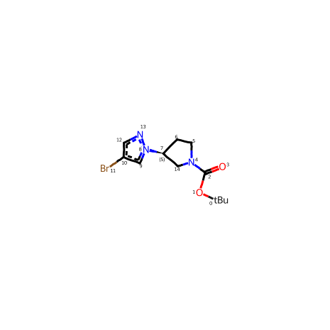 CC(C)(C)OC(=O)N1CC[C@H](n2cc(Br)cn2)C1